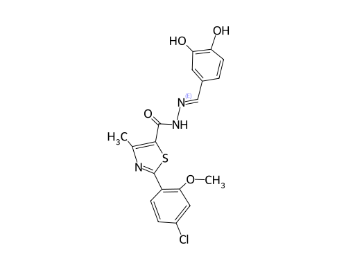 COc1cc(Cl)ccc1-c1nc(C)c(C(=O)N/N=C/c2ccc(O)c(O)c2)s1